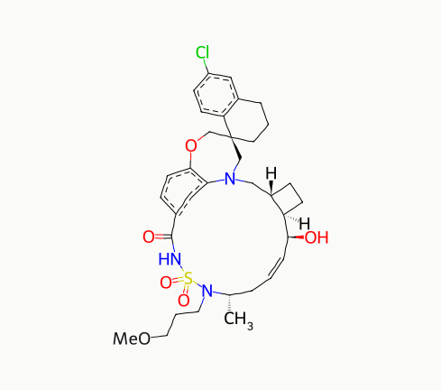 COCCCN1[C@@H](C)C/C=C\[C@H](O)[C@@H]2CC[C@H]2CN2C[C@@]3(CCCc4cc(Cl)ccc43)COc3ccc(cc32)C(=O)NS1(=O)=O